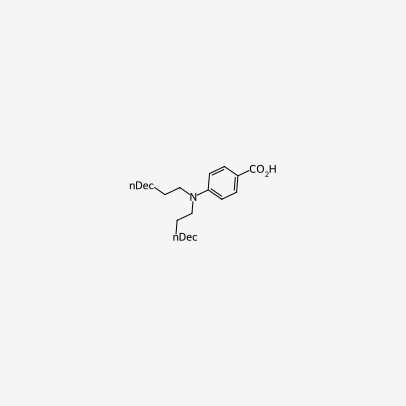 CCCCCCCCCCCCN(CCCCCCCCCCCC)c1ccc(C(=O)O)cc1